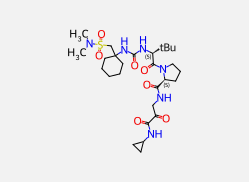 CN(C)S(=O)(=O)CC1(NC(=O)N[C@H](C(=O)N2CCC[C@H]2C(=O)NCC(=O)C(=O)NC2CC2)C(C)(C)C)CCCCC1